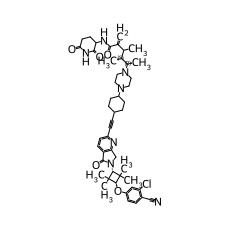 C=C(C(=O)NC1CCC(=O)NC1=O)C(C)[C@H](C)[C@@H](C)N1CCN(C2CCC(C#Cc3ccc4c(n3)CN([C@H]3C(C)(C)[C@H](Oc5ccc(C#N)c(Cl)c5)C3(C)C)C4=O)CC2)CC1